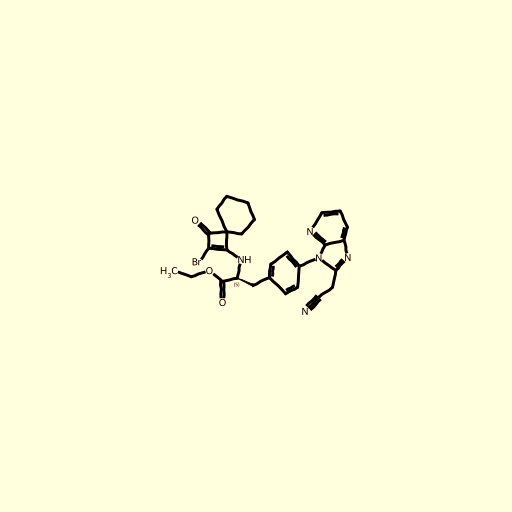 CCOC(=O)[C@H](Cc1ccc(-n2c(CC#N)nc3cccnc32)cc1)NC1=C(Br)C(=O)C12CCCCC2